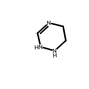 [C]1=NCCNN1